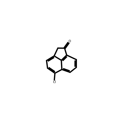 O=C1Cc2ccc(Cl)c3cccc1c23